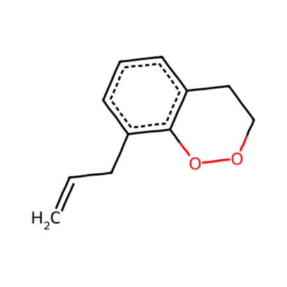 C=CCc1cccc2c1OOCC2